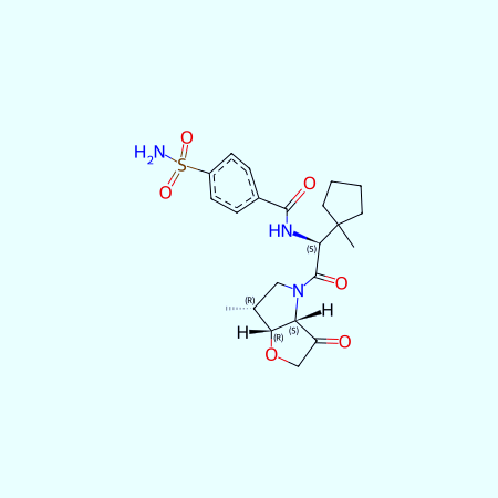 C[C@@H]1CN(C(=O)[C@@H](NC(=O)c2ccc(S(N)(=O)=O)cc2)C2(C)CCCC2)[C@@H]2C(=O)CO[C@H]12